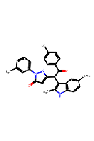 COc1ccc2[nH]c(C)c(C(C(=O)c3ccc(C#N)cc3)c3cc(=O)n(-c4cccc(C(F)(F)F)c4)[nH]3)c2c1